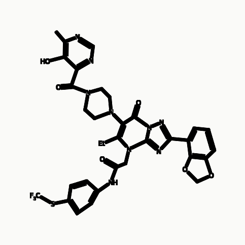 CCc1c(N2CCN(C(=O)c3ncnc(C)c3O)CC2)c(=O)n2nc(-c3cccc4c3OCO4)nc2n1CC(=O)Nc1ccc(SC(F)(F)F)cc1